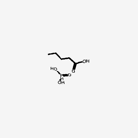 CCCCC(=O)O.O=[PH](O)O